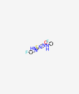 O=C(Nc1ccccc1F)N1CCN(C2=CN(Cc3ccc(F)cc3)NS2)CC1